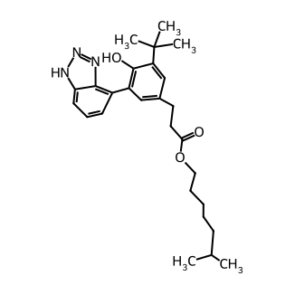 CC(C)CCCCCOC(=O)CCc1cc(-c2cccc3[nH]nnc23)c(O)c(C(C)(C)C)c1